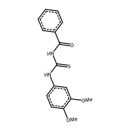 COc1ccc(NC(=S)NC(=O)c2ccccc2)cc1OC